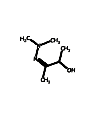 CC(=NN(C)C)C(C)O